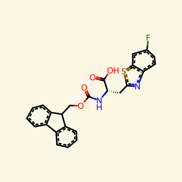 O=C(N[C@@H](Cc1nc2ccc(F)cc2s1)C(=O)O)OCC1c2ccccc2-c2ccccc21